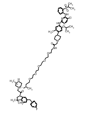 Cc1cc(Nc2ncc(Cl)c(Nc3ccccc3S(=O)(=O)C(C)C)n2)c(OC(C)C)cc1C1CCN(CC(=O)NCCOCCOCCOCCOCCOCCN(C)C[C@H]2CN[C@H](C)CN2CC(=O)N2CC(C)(C)c3ncc(Cc4ccc(F)cc4)cc32)CC1